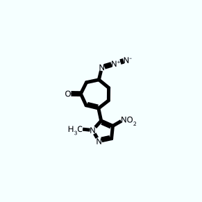 Cn1ncc([N+](=O)[O-])c1C1=CC(=O)CC(N=[N+]=[N-])CC1